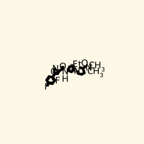 CC[C@@H]1C[C@H](NC(=O)c2cc(-c3ccc(F)cc3F)on2)C[C@@H]1N1CCCC(C(=O)N(C)C)C1